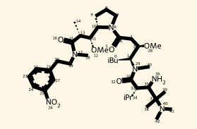 CC[C@H](C)[C@@H]([C@@H](CC(=O)N1CCC[C@H]1[C@H](OC)[C@@H](C)C(=O)N(C)CCc1cccc([N+](=O)[O-])c1)OC)N(C)C(=O)[C@@H](C(C)C)C(N)C(C)(C)N(C)C